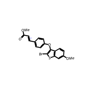 COC(=O)/C=C/c1ccc(Oc2c(Br)sc3cc(OC)ccc23)cc1